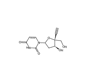 C#C[C@]1(CO)OC(n2ccc(=O)[nH]c2=O)C[C@@H]1O